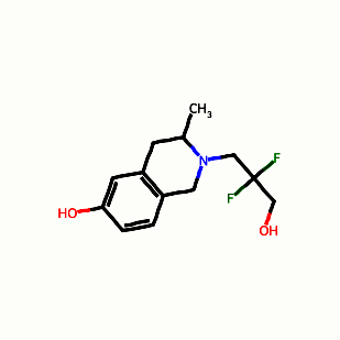 CC1Cc2cc(O)ccc2CN1CC(F)(F)CO